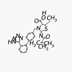 CCC1SC(=NC(=O)C(C)(C)C)N(Cc2ccc(-c3ccccc3-c3nnn[nH]3)cc2)C1C(=O)O